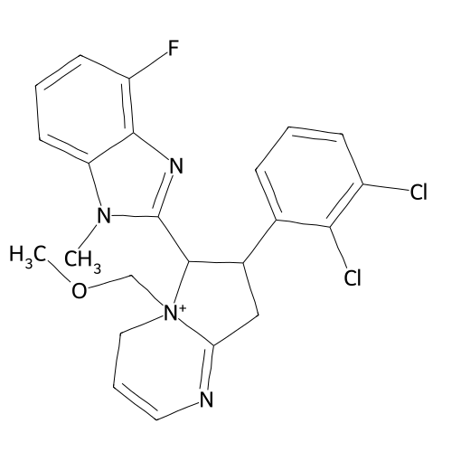 COC[N+]12CC=CN=C1CC(c1cccc(Cl)c1Cl)C2c1nc2c(F)cccc2n1C